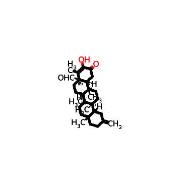 C=C1CC[C@]2(C)CC[C@]3(C)[C@H]4CC[C@]5(C=O)C(C)=C(O)C(=O)C[C@H]5[C@]4(C)CC[C@@]3(C)[C@@H]2C1